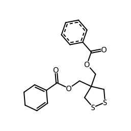 O=C(OCC1(COC(=O)c2ccccc2)CSSC1)C1=CCCC=C1